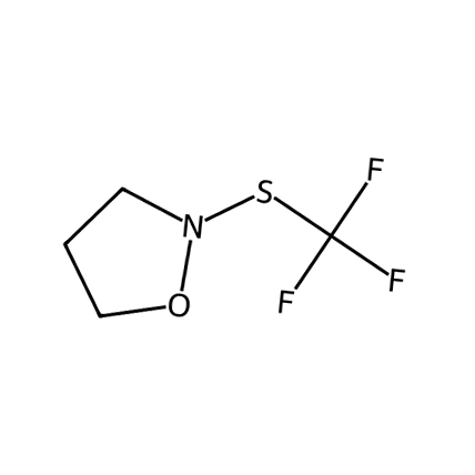 FC(F)(F)SN1CCCO1